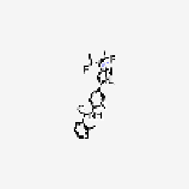 C/C(F)=C(/c1cc(-c2ccc(NC(=O)c3ccccc3C)nc2)n(C)n1)C(C)F